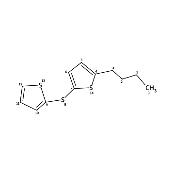 CCCCc1ccc(Sc2cccs2)s1